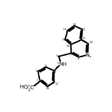 O=C(O)c1ccc(NCc2cncc3ccccc23)cc1